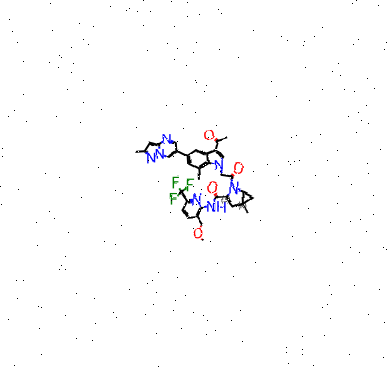 COCc1ccc(C(F)(F)F)nc1NC(=O)[C@@H]1C[C@@]2(C)CC2N1C(=O)Cn1cc(C(C)=O)c2cc(-c3cnc4cc(C)nn4c3)cc(C)c21